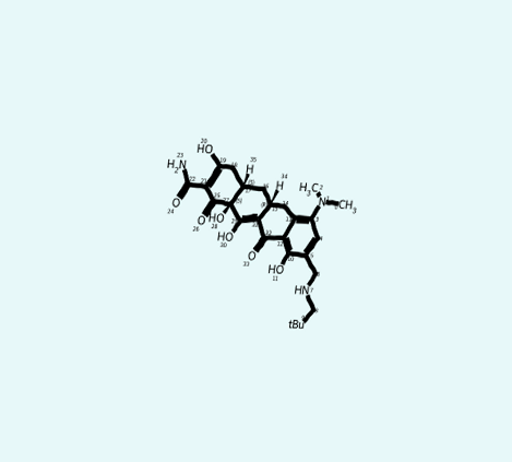 CN(C)c1cc(CNCC(C)(C)C)c(O)c2c1C[C@H]1C[C@H]3CC(O)=C(C(N)=O)C(=O)[C@@]3(O)C(O)=C1C2=O